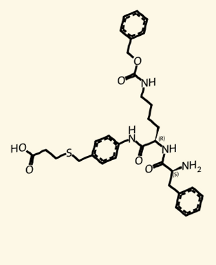 N[C@@H](Cc1ccccc1)C(=O)N[C@H](CCCCNC(=O)OCc1ccccc1)C(=O)Nc1ccc(CSCCC(=O)O)cc1